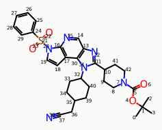 CC(C)(C)OC(=O)N1CCC(c2nc3cnc4c(ccn4S(=O)(=O)c4ccccc4)c3n2C2CCC(CC#N)CC2)CC1